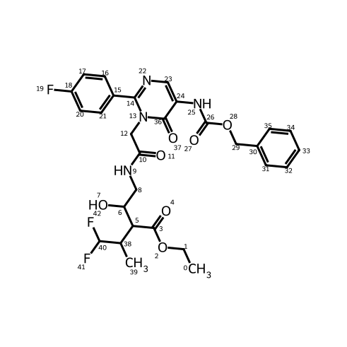 CCOC(=O)C(C(O)CNC(=O)Cn1c(-c2ccc(F)cc2)ncc(NC(=O)OCc2ccccc2)c1=O)C(C)C(F)F